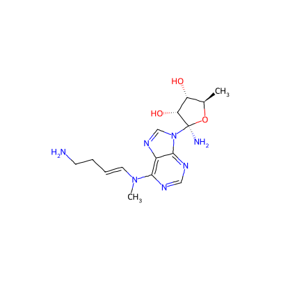 C[C@H]1O[C@@](N)(n2cnc3c(N(C)C=CCCN)ncnc32)[C@H](O)[C@@H]1O